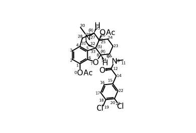 CC(=O)Oc1ccc2c3c1O[C@H]1[C@@H](N(C)C(=O)Cc4ccc(Cl)c(Cl)c4)CC[C@@]4(OC(C)=O)[C@@H](C2)N(C)CC[C@]314